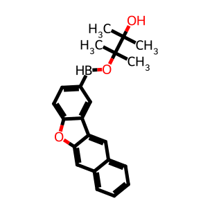 CC(C)(O)C(C)(C)OBc1ccc2oc3cc4ccccc4cc3c2c1